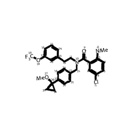 CNc1ccc(Cl)cc1C(=O)N(CCc1cccc(OC(F)(F)F)c1)Cc1ccc(C2(OC)CC2)cc1